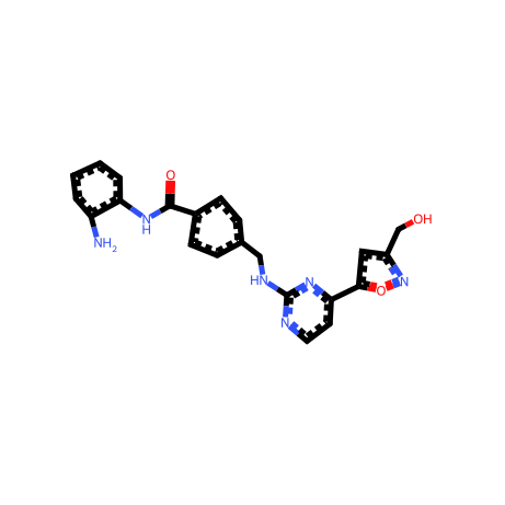 Nc1ccccc1NC(=O)c1ccc(CNc2nccc(-c3cc(CO)no3)n2)cc1